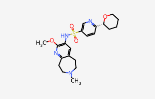 COc1nc2c(cc1NS(=O)(=O)c1ccc([C@H]3CCCCO3)nc1)CCN(C)CC2